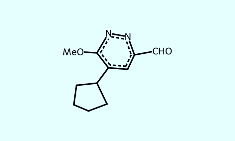 COc1nnc(C=O)cc1C1CCCC1